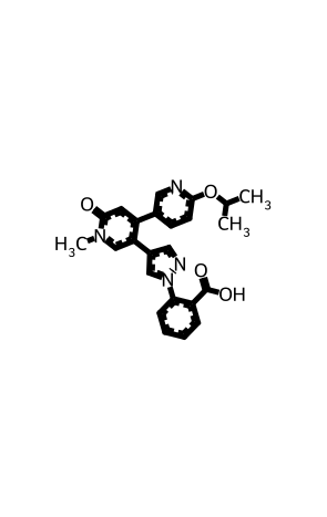 CC(C)Oc1ccc(-c2cc(=O)n(C)cc2-c2cnn(-c3ccccc3C(=O)O)c2)cn1